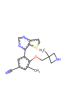 Cc1cc(C#N)cc(-c2ncnc3ccsc23)c1OCC1(C)CNC1